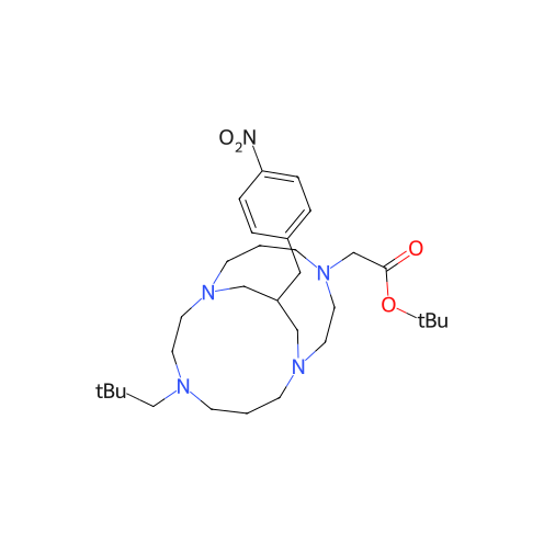 CC(C)(C)CN1CCCN2CCN(CC(=O)OC(C)(C)C)CCCN(CC1)CC(Cc1ccc([N+](=O)[O-])cc1)C2